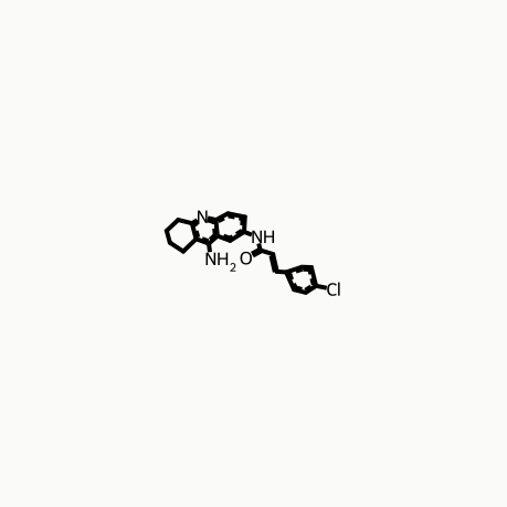 Nc1c2c(nc3ccc(NC(=O)C=Cc4ccc(Cl)cc4)cc13)CCCC2